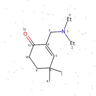 CCN(CC)CC1=CC(C)(C)CCC1=O